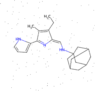 CCC1=C(C)C(c2ccc[nH]2)=NC1=CNC12CC3CC(CC(C3)C1)C2